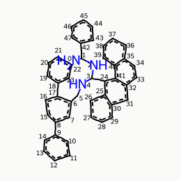 NC(NC(NCc1cc(-c2ccccc2)ccc1-c1ccccc1)c1c2ccccc2cc2ccc3ccccc3c12)c1ccccc1